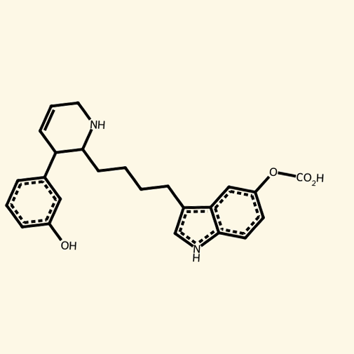 O=C(O)Oc1ccc2[nH]cc(CCCCC3NCC=CC3c3cccc(O)c3)c2c1